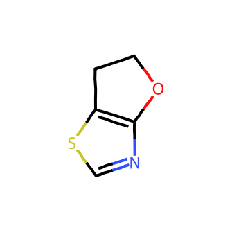 c1nc2c(s1)CCO2